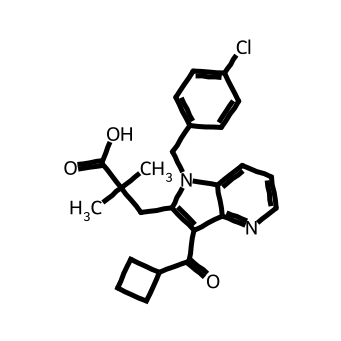 CC(C)(Cc1c(C(=O)C2CCC2)c2ncccc2n1Cc1ccc(Cl)cc1)C(=O)O